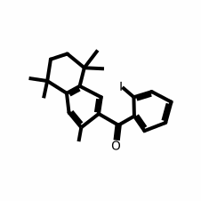 Cc1cc2c(cc1C(=O)c1ccccc1I)C(C)(C)CCC2(C)C